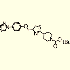 CC(C)(C)OC(=O)N1CCC(C2=NC(COc3ccc(-n4cncn4)cc3)CS2)CC1